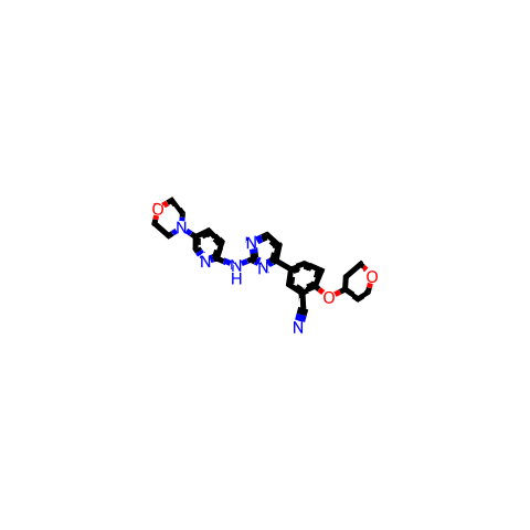 N#Cc1cc(-c2ccnc(Nc3ccc(N4CCOCC4)cn3)n2)ccc1OC1CCOCC1